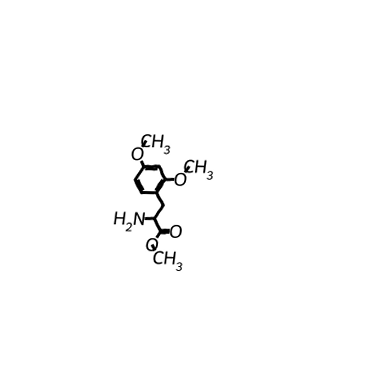 COC(=O)C(N)Cc1ccc(OC)cc1OC